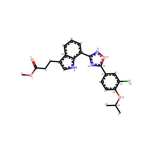 COC(=O)CCc1c[nH]c2c(-c3noc(-c4ccc(OC(C)C)c(Cl)c4)n3)cccc12